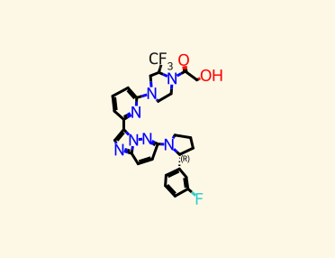 O=C(CO)N1CCN(c2cccc(-c3cnc4ccc(N5CCC[C@@H]5c5cccc(F)c5)nn34)n2)CC1C(F)(F)F